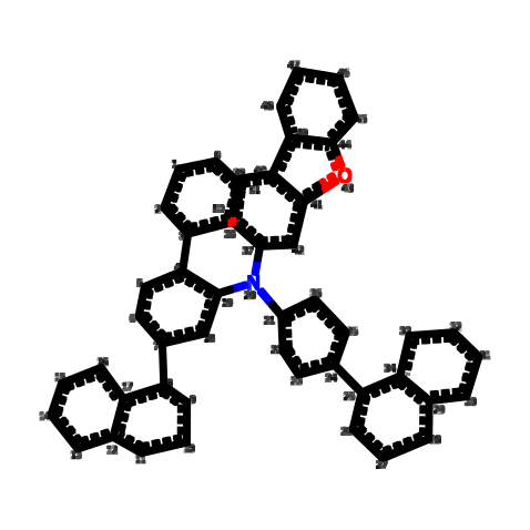 c1ccc(-c2ccc(-c3cccc4ccccc34)cc2N(c2ccc(-c3cccc4ccccc34)cc2)c2ccc3c(c2)oc2ccccc23)cc1